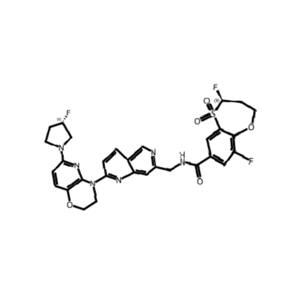 O=C(NCc1cc2nc(N3CCOc4ccc(N5CC[C@H](F)C5)nc43)ccc2cn1)c1cc(F)c2c(c1)S(=O)(=O)[C@@H](F)CCO2